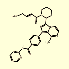 COC/C=C/C(=O)N1CCCCC1c1nc(-c2ccc(C(=O)Nc3ncccn3)cc2)c2c(N)nccn12